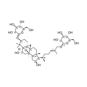 C/C(=C\CC[C@@H](C)[C@H]1[C@@H](O)C[C@@]2(C)[C@@H]3C[C@H](O)[C@H]4C(C)(C)[C@@H](O[C@@H]5O[C@H](CO)[C@@H](O)[C@H](O)[C@H]5O)CC[C@@]45C[C@@]35CC[C@]12C)CO[C@@H]1O[C@H](CO)[C@@H](O)[C@H](O)[C@H]1O